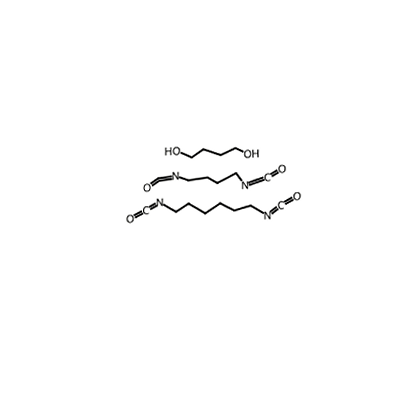 O=C=NCCCCCCN=C=O.O=C=NCCCCN=C=O.OCCCCO